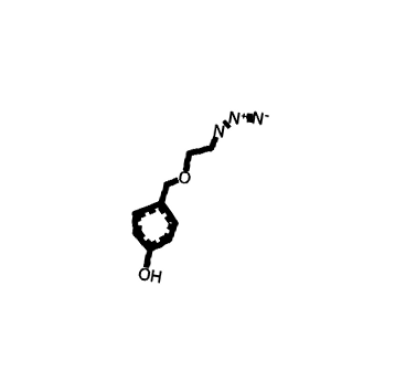 [N-]=[N+]=NCCOCc1ccc(O)cc1